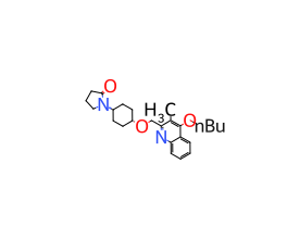 CCCCOc1c(C)c(CO[C@H]2CC[C@H](N3CCCC3=O)CC2)nc2ccccc12